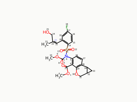 COC(=O)c1c(N(C(=O)OC)S(=O)(=O)c2ccc(F)cc2/C=C(/C)CO)ccc2c1OCC1CC21